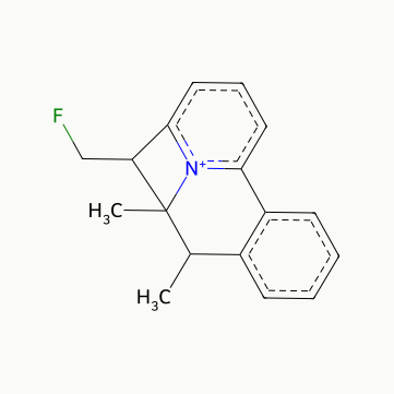 CC1c2ccccc2-c2cccc3[n+]2C1(C)C3CF